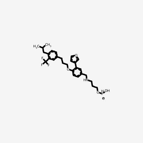 CC(C)Cc1ccc(CCCOc2ccc(CNCCCO[PH](=O)O)cc2-c2ccoc2)cc1C(F)(F)F